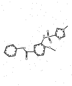 COc1ccc(C(=O)Nc2ccccc2)cc1NS(=O)(=O)c1cn(C)cn1